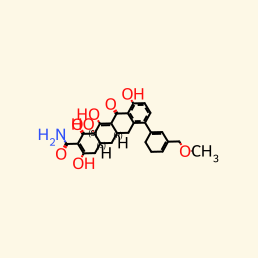 COCC1=CCCC(c2ccc(O)c3c2C[C@H]2C[C@H]4CC(O)=C(C(N)=O)C(=O)[C@@]4(O)C(O)=C2C3=O)=C1